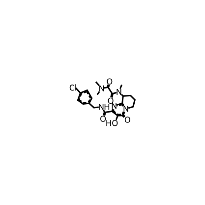 CN(C)C(=O)C(=O)N(C)C1CCCn2c1nc(C(=O)NCc1ccc(Cl)cc1)c(O)c2=O